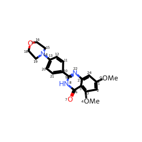 COc1cc(OC)c2c(=O)[nH]c(-c3ccc(N4CCOCC4)cc3)nc2c1